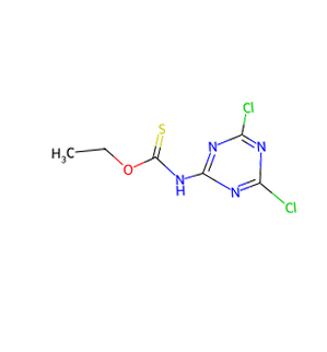 CCOC(=S)Nc1nc(Cl)nc(Cl)n1